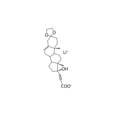 C[C@]12CCC3(CC1=CCC1C2CC[C@@]2(C)C1CC[C@@]2(O)C#CC(=O)[O-])OCCO3.[Li+]